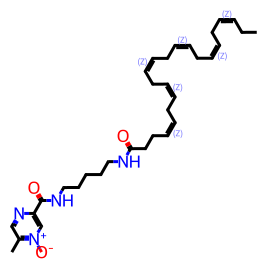 CC/C=C\C/C=C\C/C=C\C/C=C\C/C=C\C/C=C\CCC(=O)NCCCCCNC(=O)c1c[n+]([O-])c(C)cn1